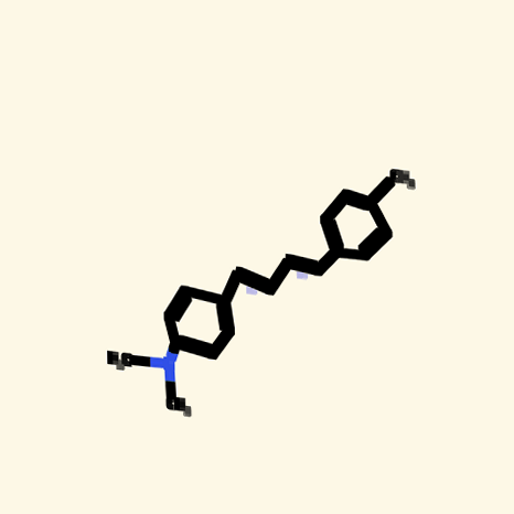 Cc1ccc(/C=C/C=C/c2ccc(N(C)C)cc2)cc1